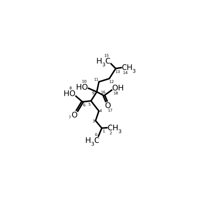 CC(C)CCC(C(=O)O)C(O)(CCC(C)C)C(=O)O